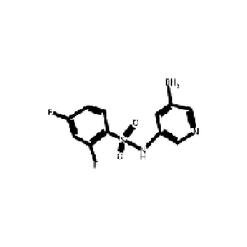 Bc1cncc(NS(=O)(=O)c2ccc(F)cc2F)c1